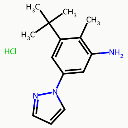 Cc1c(N)cc(-n2cccn2)cc1C(C)(C)C.Cl